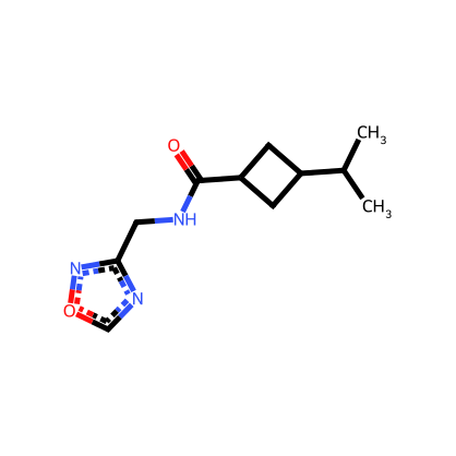 CC(C)C1CC(C(=O)NCc2ncon2)C1